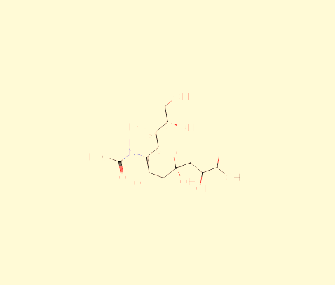 CC(=O)N[C@H]1[C@H]([C@H](O)[C@H](O)CO)O[C@](O)(CC(O)C(C)O)C[C@@H]1O